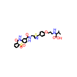 CC(C)[C@H](NCCCOc1ccc(-c2ncc(CNC(=O)c3ccc4c(c3)NC(=O)c3ccccc3S4(=O)=O)s2)cc1)C(=O)O